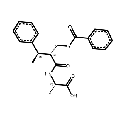 C[C@H](NC(=O)[C@@H](CSC(=O)c1ccccc1)[C@@H](C)c1ccccc1)C(=O)O